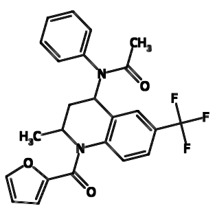 CC(=O)N(c1ccccc1)C1CC(C)N(C(=O)c2ccco2)c2ccc(C(F)(F)F)cc21